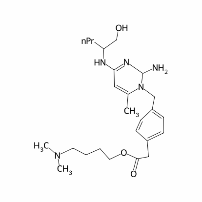 CCCC(CO)NC1=NC(N)N(Cc2ccc(CC(=O)OCCCCN(C)C)cc2)C(C)=C1